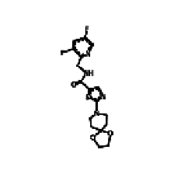 O=C(NCc1ncc(F)cc1F)c1cnc(N2CCC3(CC2)OCCO3)s1